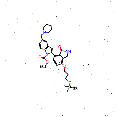 CC(C)(C)OC(=O)n1c(-c2ccc(OCCCO[Si](C)(C)C(C)(C)C)c3c2C(=O)NC3)cc2cc(CN3CCCCC3)ccc21